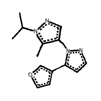 Cc1c(-n2nccc2-c2ccoc2)cnn1C(C)C